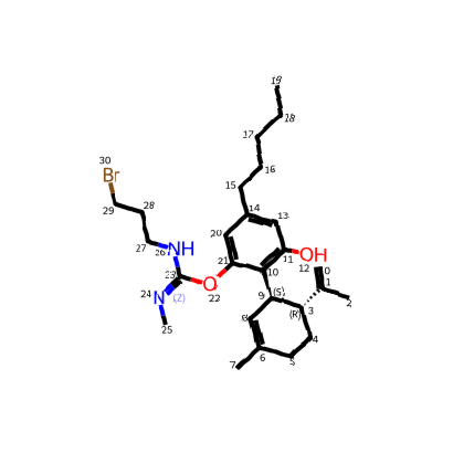 C=C(C)[C@@H]1CCC(C)=C[C@H]1c1c(O)cc(CCCCC)cc1O/C(=N\C)NCCCBr